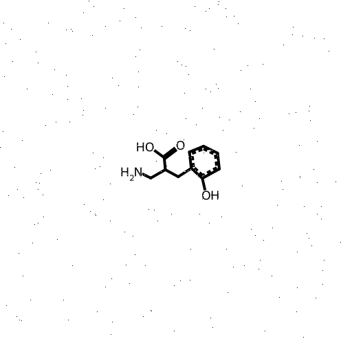 NCC(Cc1ccccc1O)C(=O)O